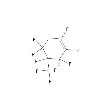 FC1=C(F)C(F)(F)C(F)(C(F)(F)F)C(F)(F)C1